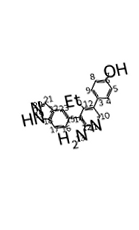 CCc1c(-c2ccc(O)cc2)cnc(N)c1-c1ccc2[nH]ncc2c1